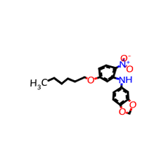 CCCCCCOc1ccc([N+](=O)[O-])c(Nc2ccc3c(c2)OCO3)c1